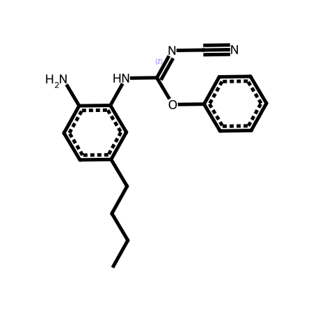 CCCCc1ccc(N)c(N/C(=N/C#N)Oc2ccccc2)c1